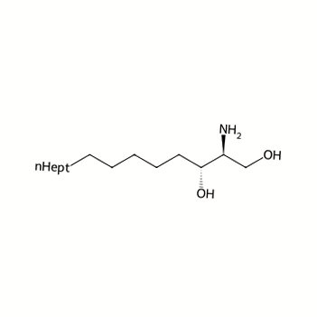 CCCCCCCCCCCC[C@@H](O)[C@@H](N)CO